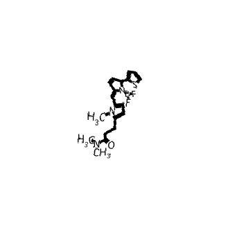 CN(C)C(=O)CCc1ccc(/C=C2/C=CC(c3cccs3)N2B(F)F)n1C